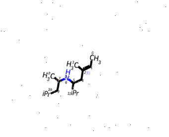 C/C=C(\C)CC(NC(C)CC(C)C)C(C)C